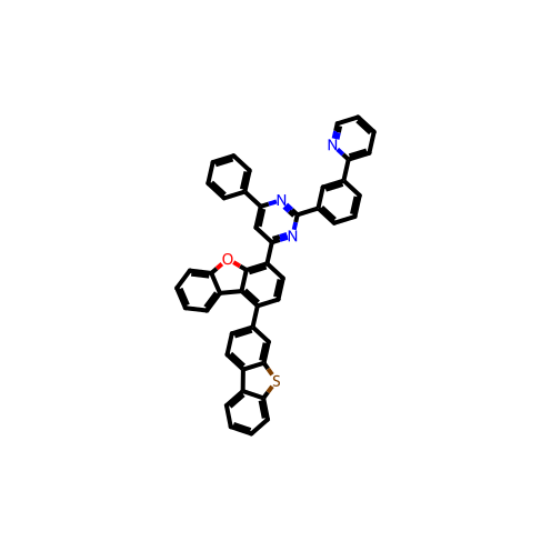 c1ccc(-c2cc(-c3ccc(-c4ccc5c(c4)sc4ccccc45)c4c3oc3ccccc34)nc(-c3cccc(-c4ccccn4)c3)n2)cc1